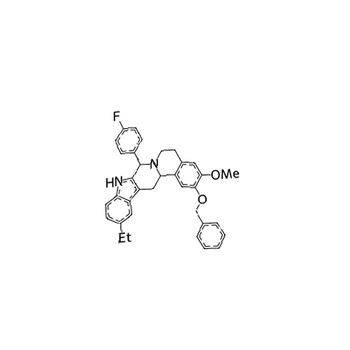 CCc1ccc2[nH]c3c(c2c1)CC1c2cc(OCc4ccccc4)c(OC)cc2CCN1C3c1ccc(F)cc1